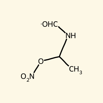 CC(N[C]=O)O[N+](=O)[O-]